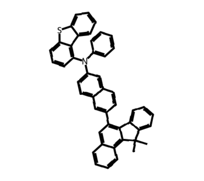 CC1(C)c2ccccc2-c2c(-c3ccc4cc(N(c5ccccc5)c5cccc6sc7ccccc7c56)ccc4c3)cc3ccccc3c21